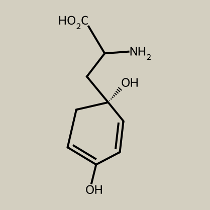 NC(C[C@@]1(O)C=CC(O)=CC1)C(=O)O